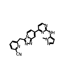 Cn1nccc1Nc1nccc(-c2ccn3c(Cc4cccc(C#N)n4)nnc3c2)n1